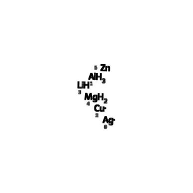 [Ag].[AlH3].[Cu].[LiH].[MgH2].[Zn]